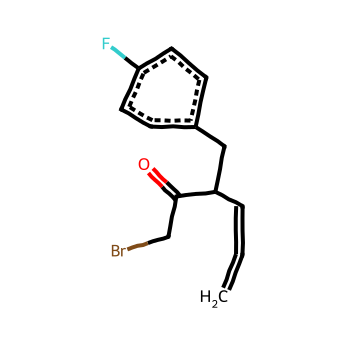 C=C=CC(Cc1ccc(F)cc1)C(=O)CBr